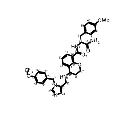 COc1ccc(C[C@H](NC(=O)c2cccc3c2OCCC3NCc2cncn2Cc2ccc(OC(F)(F)F)cc2)C(N)=O)cc1